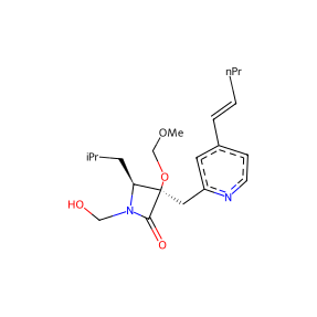 CCC/C=C/c1ccnc(C[C@]2(OCOC)C(=O)N(CO)[C@H]2CC(C)C)c1